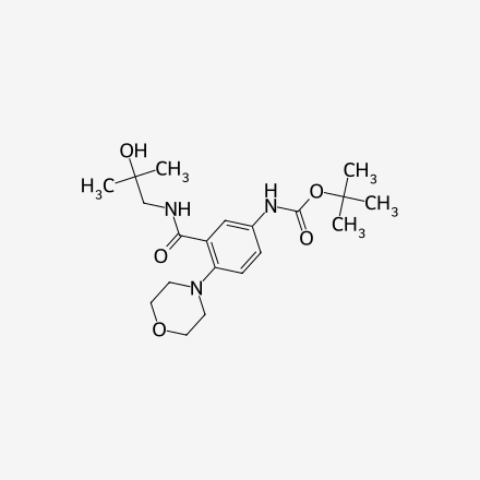 CC(C)(O)CNC(=O)c1cc(NC(=O)OC(C)(C)C)ccc1N1CCOCC1